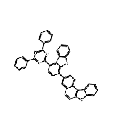 c1ccc(-c2nc(-c3ccccc3)nc(-c3ccc(-c4ccc5c(ccc6sc7ccccc7c65)c4)c4oc5ccccc5c34)n2)cc1